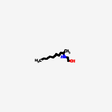 CCCCCCCCC(C)NCCO